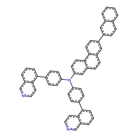 c1ccc2cc(-c3ccc4c(ccc5cc(N(c6ccc(-c7cccc8cnccc78)cc6)c6ccc(-c7cccc8cnccc78)cc6)ccc54)c3)ccc2c1